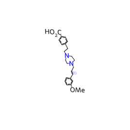 COc1cccc(/C=C/CN2CCN(CCc3ccc(C(=O)O)cc3)CC2)c1